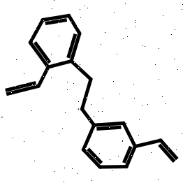 C=Cc1cccc([CH]Cc2ccccc2C=C)c1